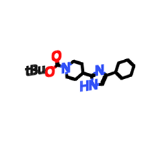 CC(C)(C)OC(=O)N1CCC(c2nc(C3CCCCC3)c[nH]2)CC1